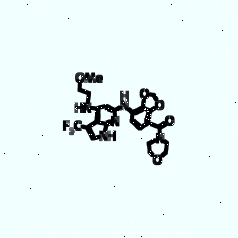 COCCNc1cc(Nc2ccc(C(=O)N3CCOCC3)c3c2OCO3)nc2[nH]cc(C(F)(F)F)c12